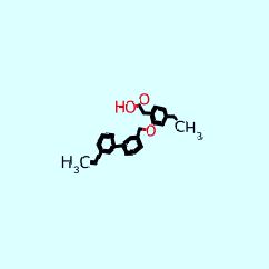 CCc1cccc(-c2cccc(COc3cc(CC)ccc3CC(=O)O)c2)c1